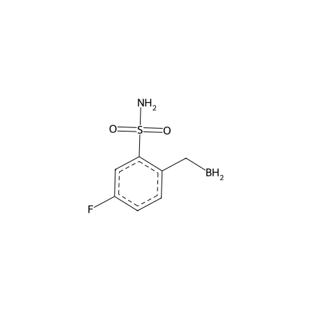 BCc1ccc(F)cc1S(N)(=O)=O